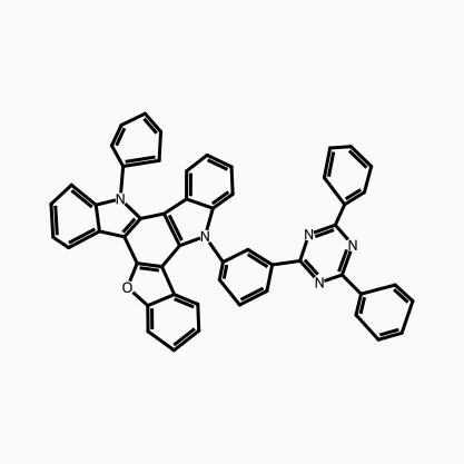 c1ccc(-c2nc(-c3ccccc3)nc(-c3cccc(-n4c5ccccc5c5c6c(c7ccccc7n6-c6ccccc6)c6oc7ccccc7c6c54)c3)n2)cc1